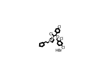 Br.Clc1ccc(C(OCc2ccc(Cl)cc2Cl)C(Cl)N2C=CN(CCc3ccccc3)C2)cc1